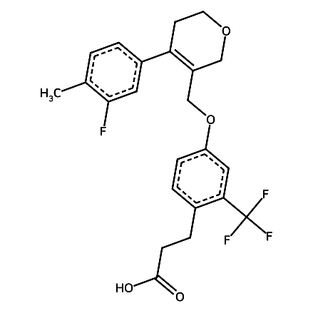 Cc1ccc(C2=C(COc3ccc(CCC(=O)O)c(C(F)(F)F)c3)COCC2)cc1F